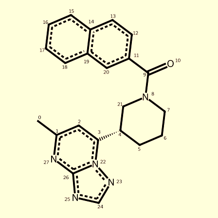 Cc1cc([C@H]2CCCN(C(=O)c3ccc4ccccc4c3)C2)n2ncnc2n1